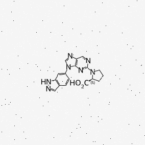 O=C(O)[C@@H]1CCCN1c1ncc2ncn(-c3ccc4cn[nH]c4c3)c2n1